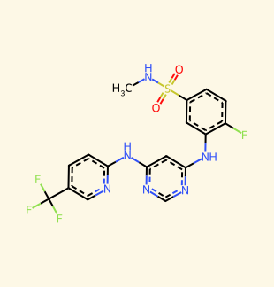 CNS(=O)(=O)c1ccc(F)c(Nc2cc(Nc3ccc(C(F)(F)F)cn3)ncn2)c1